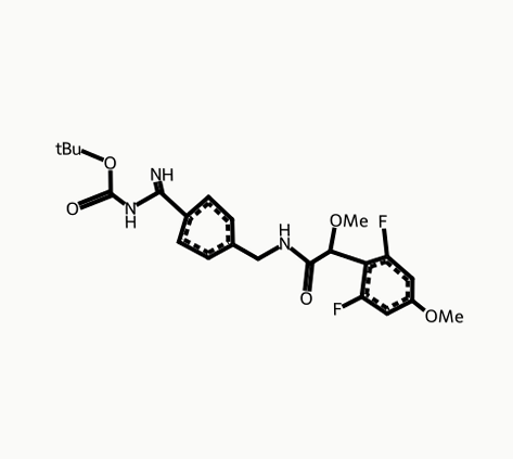 COc1cc(F)c(C(OC)C(=O)NCc2ccc(C(=N)NC(=O)OC(C)(C)C)cc2)c(F)c1